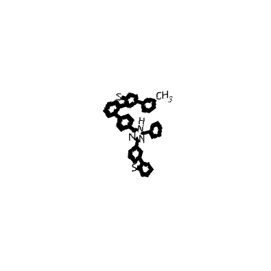 Cc1cccc(-c2ccc3sc4cccc(-c5ccc(C6N=C(c7ccc8sc9ccccc9c8c7)N=C(c7ccccc7)N6)cc5)c4c3c2)c1